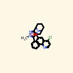 Cn1nc2c(c1-c1ccccc1)CC1CCCC2N1C(=O)c1ccc2nccc(Cl)c2c1